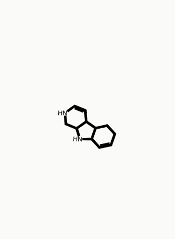 C1=CC2NC3CNC=CC3C2CC1